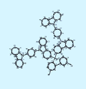 Cc1ccc2c(c1)-c1cc(C)ccc1C2(c1ccc2c(c1)c1ccccc1n2-c1ccc(-n2c3ccccc3c3ccccc32)cc1)c1ccc2c(c1)c1ccccc1n2-c1ccc(-n2c3ccccc3c3ccccc32)cc1